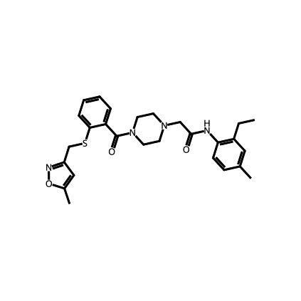 CCc1cc(C)ccc1NC(=O)CN1CCN(C(=O)c2ccccc2SCc2cc(C)on2)CC1